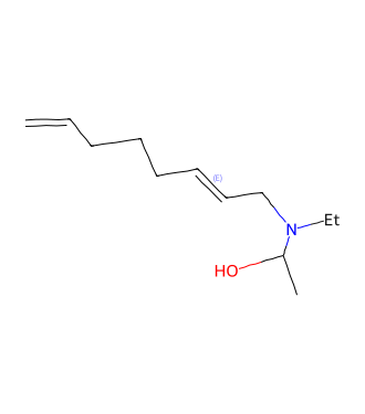 C=CCCC/C=C/CN(CC)C(C)O